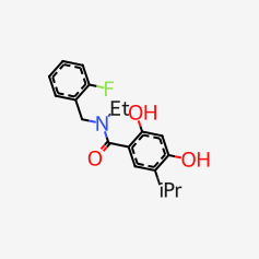 CCN(Cc1ccccc1F)C(=O)c1cc(C(C)C)c(O)cc1O